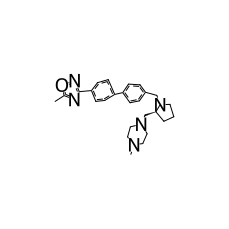 Cc1nc(-c2ccc(-c3ccc(CN4CCC[C@H]4CN4CCN(C)CC4)cc3)cc2)no1